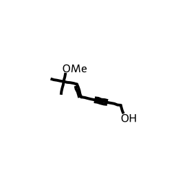 COC(C)(C)C=CC#CCO